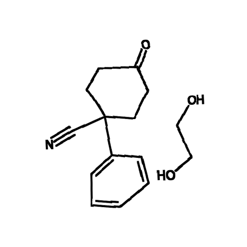 N#CC1(c2ccccc2)CCC(=O)CC1.OCCO